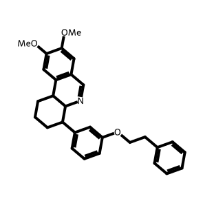 COc1cc2c(cc1OC)C1CCCC(c3cccc(OCCc4ccccc4)c3)C1N=C2